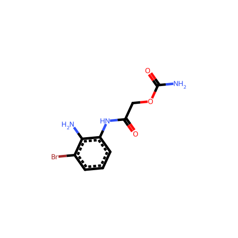 NC(=O)OCC(=O)Nc1cccc(Br)c1N